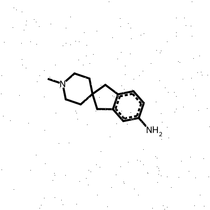 CN1CCC2(CC1)Cc1ccc(N)cc1C2